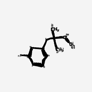 [CH2]C(C)(Cc1cccc(F)c1)OC